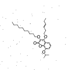 CCC=CCCOc1c(OCCCCCCCCCC)c(=O)oc2c(OC(C)C)cccc12